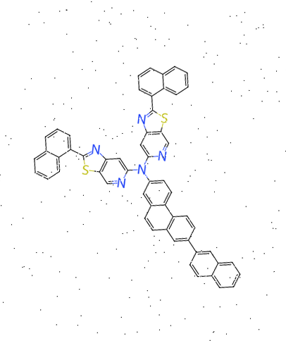 c1ccc2cc(-c3ccc4c(ccc5cc(N(c6cc7nc(-c8cccc9ccccc89)sc7cn6)c6cc7nc(-c8cccc9ccccc89)sc7cn6)ccc54)c3)ccc2c1